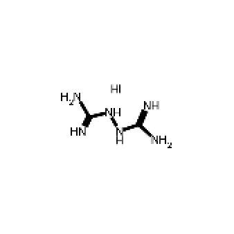 I.N=C(N)NNC(=N)N